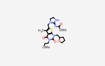 COCCn1c(=O)c2c(C)c(CN3CCNC3=NC(=O)OC)sc2n(CC2CCCO2)c1=O